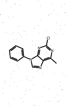 Cc1nc(Cl)nc2c1ncn2-c1ccccc1